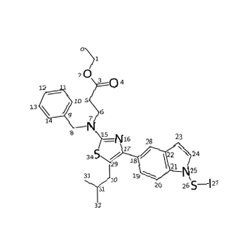 CCOC(=O)CCN(Cc1ccccc1)c1nc(-c2ccc3c(ccn3SI)c2)c(CC(C)C)s1